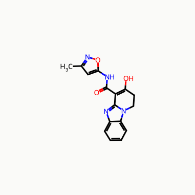 Cc1cc(NC(=O)C2=C(O)CCn3c2nc2ccccc23)on1